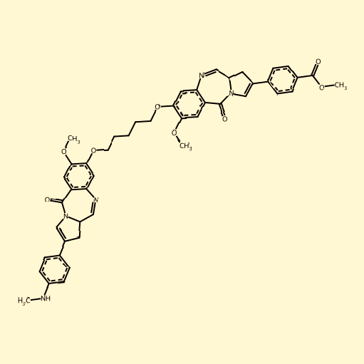 CNc1ccc(C2=CN3C(=O)c4cc(OC)c(OCCCCCOc5cc6c(cc5OC)C(=O)N5C=C(c7ccc(C(=O)OC)cc7)CC5C=N6)cc4N=CC3C2)cc1